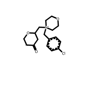 O=C1[C]COC(C[N+]2(Cc3ccc(Cl)cc3)CCOCC2)C1